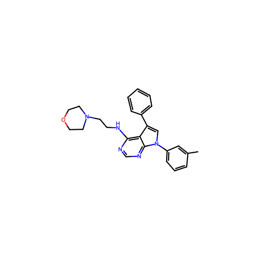 Cc1cccc(-n2cc(-c3ccccc3)c3c(NCCN4CCOCC4)ncnc32)c1